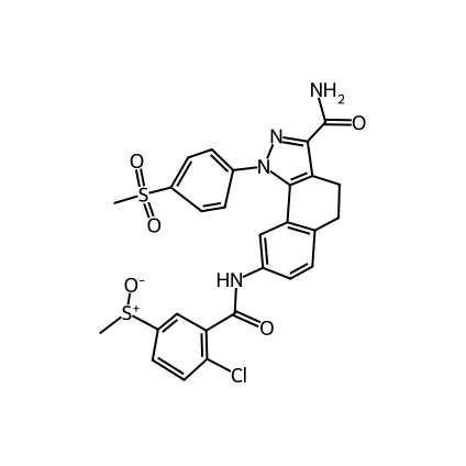 C[S+]([O-])c1ccc(Cl)c(C(=O)Nc2ccc3c(c2)-c2c(c(C(N)=O)nn2-c2ccc(S(C)(=O)=O)cc2)CC3)c1